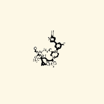 C[C@H](C[C@@](C)(NC(=O)NC=O)C1CC1)C(=O)N1CCN(c2cc(F)cc(-c3cn[nH]c3)c2)[C@@H](C)C1